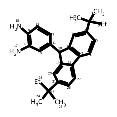 CCC(C)(C)c1ccc2c(c1)C(c1ccc(N)c(N)c1)c1cc(C(C)(C)CC)ccc1-2